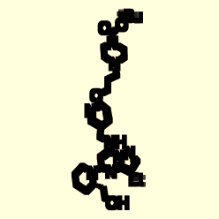 CCc1cnn2c(NCc3ccc(OCCCN4CCN(C(=O)OC(C)(C)C)CC4)nc3)cc(N3CCCC[C@H]3CCO)nc12